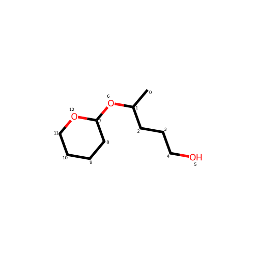 CC(CCCO)OC1CCCCO1